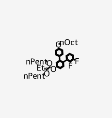 CCCCCCCCOc1ccc(-c2cc(OC(OCCCCC)[C@H](CC)OCCCCC)ccc2-c2cccc(F)c2F)cc1